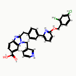 O=C(O)c1ccc2nc(Cc3ccc(-c4cccc(OCc5ccc(Cl)cc5F)n4)cc3)n(Cc3cccnc3)c2c1